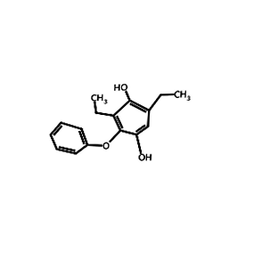 CCc1cc(O)c(Oc2ccccc2)c(CC)c1O